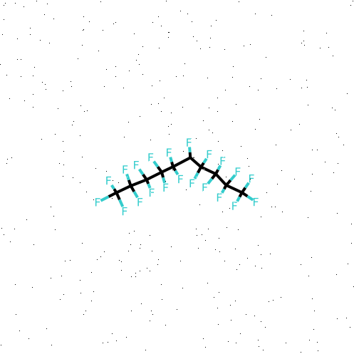 F[C](C(F)(F)C(F)(F)C(F)(F)C(F)(F)F)C(F)(F)C(F)(F)C(F)(F)C(F)(F)C(F)(F)F